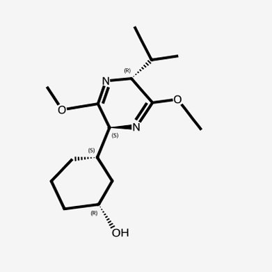 COC1=N[C@H](C(C)C)C(OC)=N[C@H]1[C@H]1CCC[C@@H](O)C1